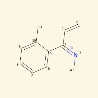 C=C/C(=N/C)c1ccccc1C